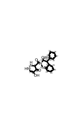 CCCCN(C(=O)C1NNC=C(O)C1=O)C(OC)C(c1ccccc1)c1ccccc1